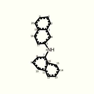 c1ccc2cc(Nc3cccc4ccccc34)ccc2c1